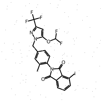 Cc1cc(Cn2nc(C(F)(F)F)cc2OC(F)F)ccc1N1C(=O)c2cccc(I)c2C1=O